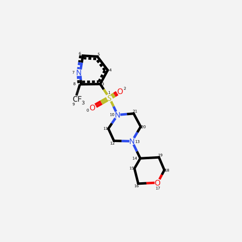 O=S(=O)(c1cccnc1C(F)(F)F)N1CCN(C2CCOCC2)CC1